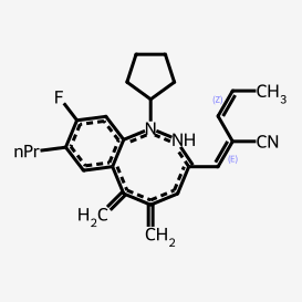 C=c1cc(/C=C(C#N)\C=C/C)[nH]n(C2CCCC2)c2cc(F)c(CCC)cc2c1=C